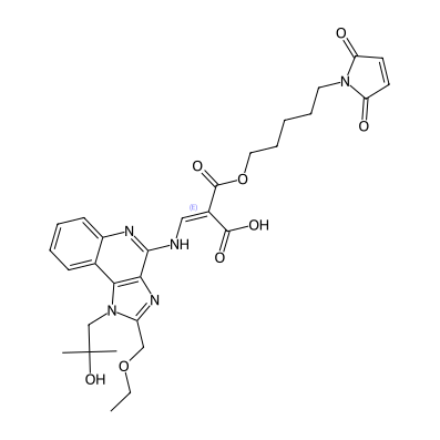 CCOCc1nc2c(N/C=C(\C(=O)O)C(=O)OCCCCCN3C(=O)C=CC3=O)nc3ccccc3c2n1CC(C)(C)O